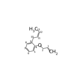 C=CCOc1ccccc1C/C=C\C